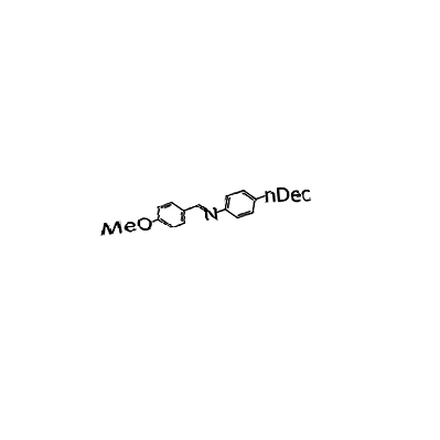 CCCCCCCCCCc1ccc(/N=C/c2ccc(OC)cc2)cc1